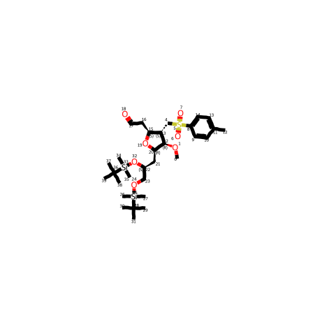 CO[C@@H]1[C@@H](CS(=O)(=O)c2ccc(C)cc2)[C@H](CC=O)O[C@@H]1C[C@@H](CO[Si](C)(C)C(C)(C)C)O[Si](C)(C)C(C)(C)C